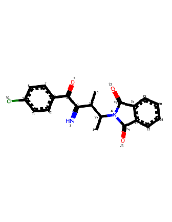 CC(C(=N)C(=O)c1ccc(Cl)cc1)C(C)N1C(=O)c2ccccc2C1=O